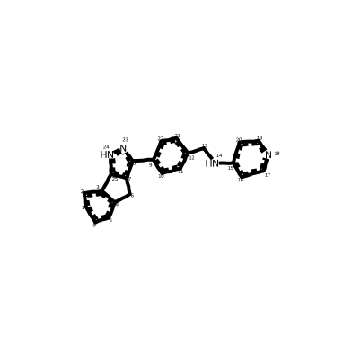 c1ccc2c(c1)Cc1c(-c3ccc(CNc4ccncc4)cc3)n[nH]c1-2